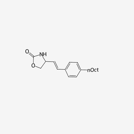 CCCCCCCCc1ccc(C=CC2COC(=O)N2)cc1